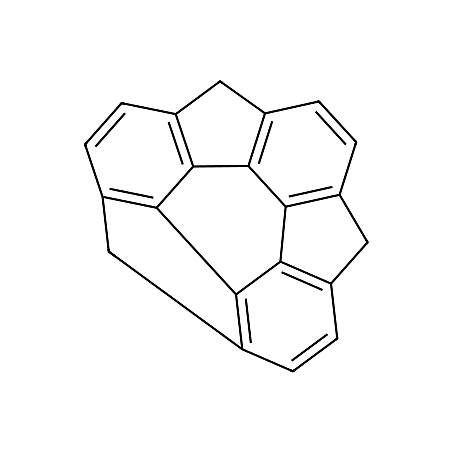 c1cc2c3c4c1Cc1ccc5c(c14)c1c(ccc(c31)C2)C5